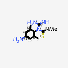 CNC(=S)N(C(=N)N)c1c(C)cc(N)cc1C